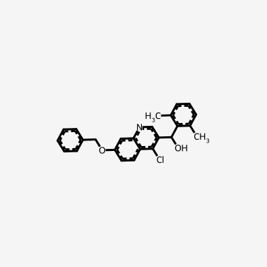 Cc1cccc(C)c1C(O)c1cnc2cc(OCc3ccccc3)ccc2c1Cl